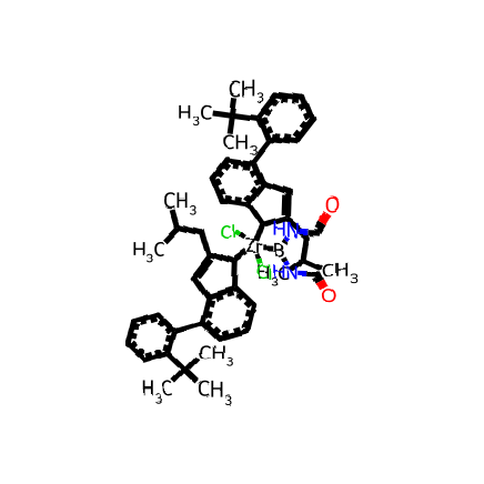 CC(C)CC1=Cc2c(-c3ccccc3C(C)(C)C)cccc2[CH]1[Zr]([Cl])([Cl])([B](NC=O)NC=O)[CH]1C(CC(C)C)=Cc2c(-c3ccccc3C(C)(C)C)cccc21